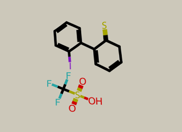 O=S(=O)(O)C(F)(F)F.S=C1CC=CC=C1c1ccccc1I